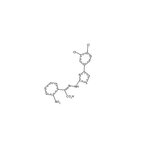 O=C(O)/C(=N\Nc1nc(-c2ccc(Cl)c(Cl)c2)cs1)c1ccccc1[N+](=O)[O-]